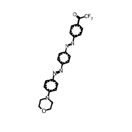 O=C(c1ccc(N=Nc2ccc(N=Nc3ccc(N4CCOCC4)cc3)cc2)cc1)C(F)(F)F